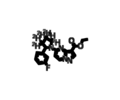 [2H]C1([2H])C(c2cccc(F)c2)N(c2ccn3ncc(C(=O)OCC)c3n2)C([2H])([2H])C1([2H])[2H]